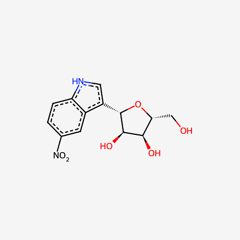 O=[N+]([O-])c1ccc2[nH]cc([C@@H]3O[C@H](CO)[C@@H](O)[C@H]3O)c2c1